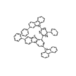 c1ccc(-c2ccc3c(c2)sc2c(-c4nc(-c5ccccc5)nc(-n5c6ccccc6c6ccc(-c7ccccc7)cc65)n4)cc(-n4c5ccccc5c5ccccc54)cc23)cc1